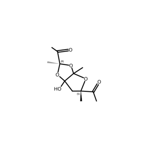 CC(=O)[C@]1(C)OC2(O)C[C@@](C)(C(C)=O)OC2(C)O1